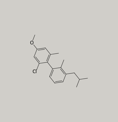 COc1cc(C)c(-c2cccc(CC(C)C)c2C)c(Cl)c1